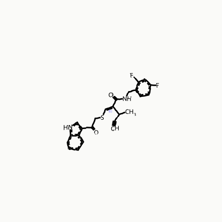 C#CC(C)/C(=C\SCC(=O)c1c[nH]c2ccccc12)C(=O)NCc1ccc(F)cc1F